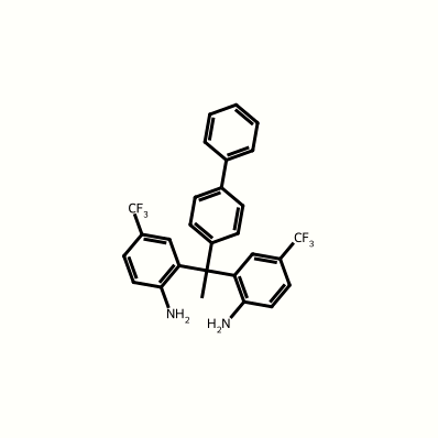 CC(c1ccc(-c2ccccc2)cc1)(c1cc(C(F)(F)F)ccc1N)c1cc(C(F)(F)F)ccc1N